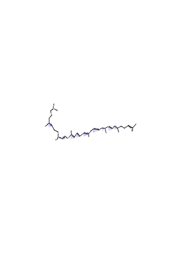 CC(C)=CCC/C(C)=C/C=C/C(C)=C/C=C/C(C)=C/C=C/C=C(\C)C/C=C/C(C)CC/C=C(\C)CCCC(C)C